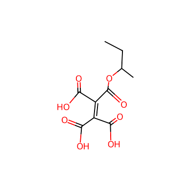 CCC(C)OC(=O)C(C(=O)O)=C(C(=O)O)C(=O)O